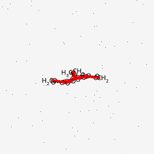 C=CC(=O)OCCCCCCOc1ccc(OC(=O)C2CCC(C(=O)Oc3ccc(OC(=O)C4CCC(C(=O)Oc5ccc(OCCCCCCOC(=O)C=C)cc5)CC4)c4sc(-c5cc(C)cc(C)c5)nc34)CC2)cc1